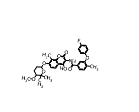 COC1CCC(Oc2ccc3c(O)c(NC(=O)c4ccc(C)c(Oc5ccc(F)cc5)c4)c(=O)oc3c2C)OC1(C)C